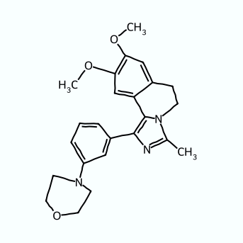 COc1cc2c(cc1OC)-c1c(-c3cccc(N4CCOCC4)c3)nc(C)n1CC2